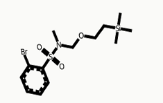 CN(COCC[Si](C)(C)C)S(=O)(=O)c1ccccc1Br